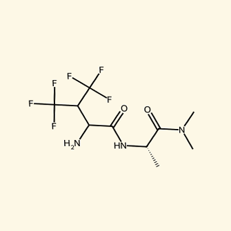 C[C@H](NC(=O)C(N)C(C(F)(F)F)C(F)(F)F)C(=O)N(C)C